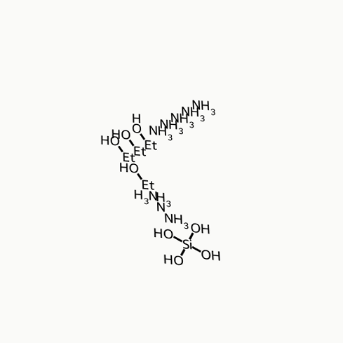 CCO.CCO.CCO.CCO.N.N.N.N.N.N.N.N.O[Si](O)(O)O